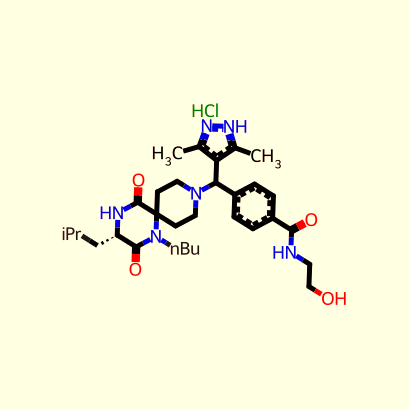 CCCCN1C(=O)[C@H](CC(C)C)NC(=O)C12CCN(C(c1ccc(C(=O)NCCO)cc1)c1c(C)n[nH]c1C)CC2.Cl